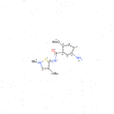 CCCCc1cn(C(C)(C)C)s/c1=N\C(=O)c1cc(N)ccc1OC